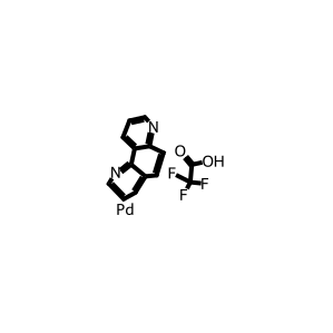 O=C(O)C(F)(F)F.[Pd].c1cnc2c(c1)ccc1ncccc12